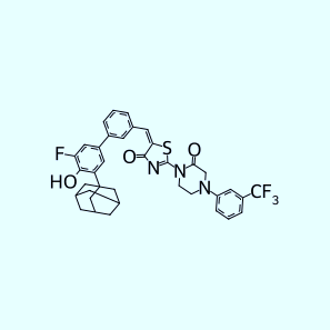 O=C1N=C(N2CCN(c3cccc(C(F)(F)F)c3)CC2=O)SC1=Cc1cccc(-c2cc(F)c(O)c(C34CC5CC(CC(C5)C3)C4)c2)c1